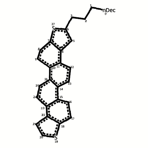 CCCCCCCCCCCCCc1cc2c(ccc3c2ccc2c4ccc5sccc5c4ccc32)s1